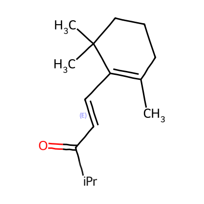 CC1=C(/C=C/C(=O)C(C)C)C(C)(C)CCC1